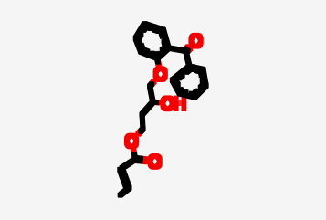 CC=CC(=O)OCCC(O)COc1ccccc1C(=O)c1ccccc1